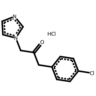 Cl.O=C(Cc1ccc(Cl)cc1)Cn1ccnc1